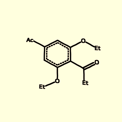 CCOc1cc(C(C)=O)cc(OCC)c1C(=O)CC